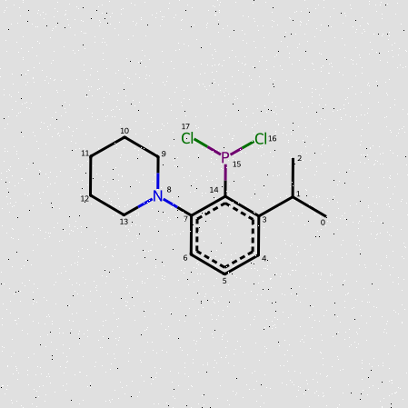 CC(C)c1cccc(N2CCCCC2)c1P(Cl)Cl